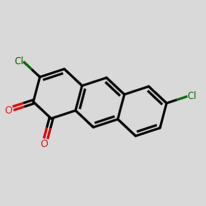 O=C1C(=O)c2cc3ccc(Cl)cc3cc2C=C1Cl